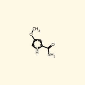 COc1c[nH]c(C(N)=O)c1